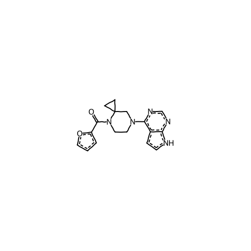 O=C(c1ccco1)N1CCN(c2ncnc3[nH]ccc23)CC12CC2